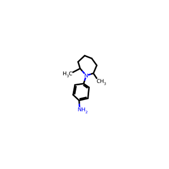 CC1CCCCC(C)N1c1ccc(N)cc1